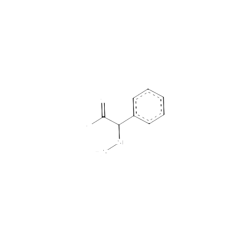 NNC(C(=O)O)c1ccccc1